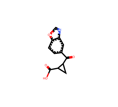 O=C(O)C1CC1C(=O)c1ccc2ocnc2c1